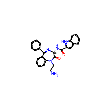 NCCN1C(=O)[C@@H](NC(=O)c2cc3ccccc3[nH]2)N=C(c2ccccc2)c2ccccc21